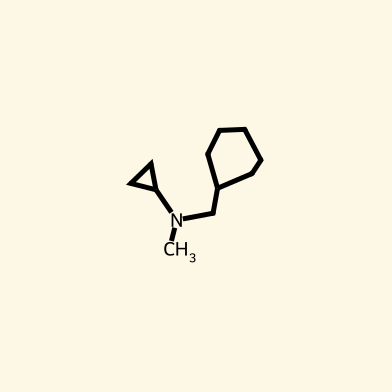 CN(CC1CCCCC1)C1CC1